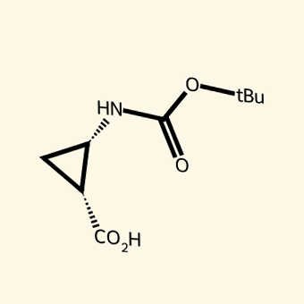 CC(C)(C)OC(=O)N[C@H]1C[C@H]1C(=O)O